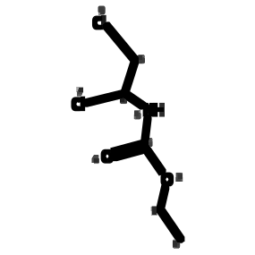 CCOC(=O)NC(Cl)CCl